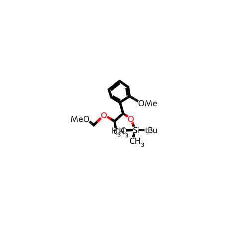 COCOC(C)C(O[Si](C)(C)C(C)(C)C)c1ccccc1OC